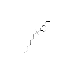 C=Cc1nc(C(C)(C)CCCCCCC)c[nH]1